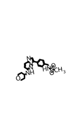 CS(=O)(=O)NCc1ccc(-c2cnc3ccc(NC4CCOCC4)nn23)cc1